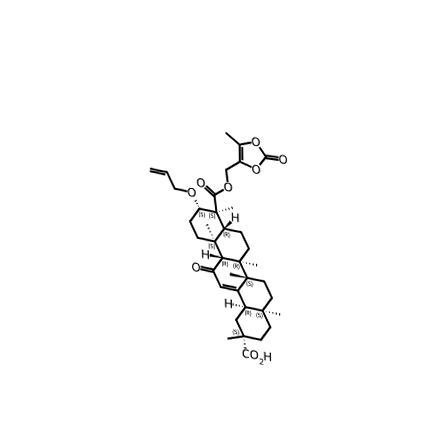 C=CCO[C@H]1CC[C@@]2(C)[C@@H](CC[C@]3(C)[C@@H]2C(=O)C=C2[C@@H]4C[C@@](C)(C(=O)O)CC[C@]4(C)CC[C@]23C)[C@]1(C)C(=O)OCc1oc(=O)oc1C